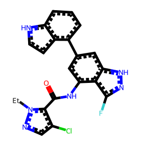 CCn1ncc(Cl)c1C(=O)Nc1cc(-c2cccc3[nH]ccc23)cc2[nH]nc(F)c12